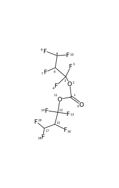 O=C(OC(F)(F)C(F)C(F)F)OC(F)(F)C(F)C(F)F